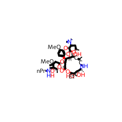 CCCNC[C@]1(O)[C@H](C)O[C@@H](O[C@H]2[C@H](C)[C@@H](O[C@@H]3O[C@H](C)C[C@H](N(C)C)[C@H]3Oc3ccccc3OC)[C@](C)(O)C[C@@H](C)CN[C@H](C)[C@@H](O)[C@](C)(O)[C@@H](CC)OC(=O)[C@@H]2C)C[C@@]1(C)OC